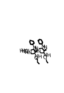 C=CCONC1CNCc2c1cnn2-c1ccccc1.C=CCONC1CNCc2c1cnn2-c1ccccc1.Cl.Cl